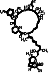 CC[C@H]1C[C@@H]2CC3=C[C@@H](C)[C@H](C[C@H](O)[C@@H](C)CC/C=C/C=C(\C)[C@@H]4C/C=C/C=C/[C@H](O)[C@H](C)[C@@H](O)[C@@H](CCC(C)=O)C(=O)N[C@@H](C(C)C)C(=O)N[C@@H](Cc5cccc(N)c5)C(=O)N5CCCC(N5)C(=O)O4)O[C@@]32NC1=O